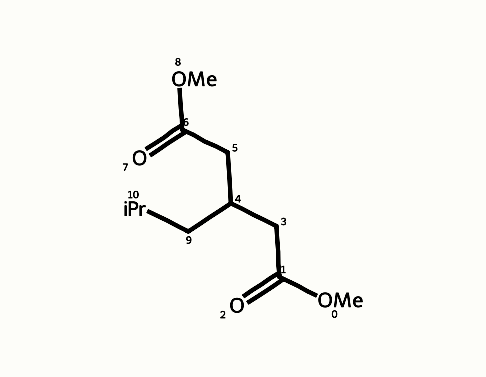 COC(=O)CC(CC(=O)OC)CC(C)C